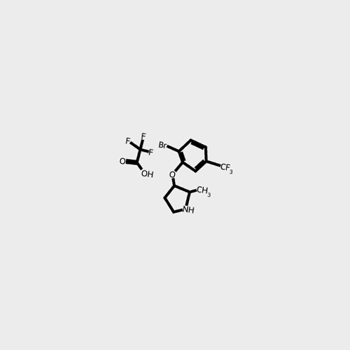 CC1NCCC1Oc1cc(C(F)(F)F)ccc1Br.O=C(O)C(F)(F)F